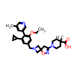 CCOc1cc(CN2CC3(CC(N4CCC(C)(C(=O)O)CC4)=NO3)C2)cc(C2CC2)c1-c1cncc(C)c1